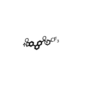 CN1Cc2cc(-c3cccc4cc(C(=O)N5CCCC(C(F)(F)F)C5)ccc34)ccc2C1=O